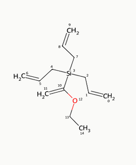 C=CC[Si](CC=C)(CC=C)C(=C)OCC